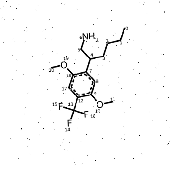 CCCCC(CN)c1cc(OC)c(C(F)(F)F)cc1OC